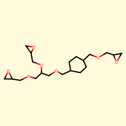 C1CC(COCC2CO2)CCC1COCC(COCC1CO1)OCC1CO1